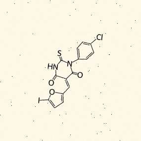 O=C1NC(=S)N(c2ccc(Cl)cc2)C(=O)/C1=C/c1ccc(I)o1